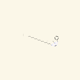 CCCCCCCCCCCCCCCC[n+]1ccn(Cc2ccccc2)c1CC